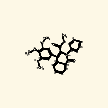 COC(=O)c1c(-c2cc(OC)c(OC)c(OC)c2)c2ccccc2c(=O)n1-c1cccnc1